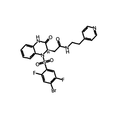 O=C(C[C@@H]1C(=O)Nc2ccccc2N1S(=O)(=O)c1cc(F)c(Br)cc1F)NCCc1ccncc1